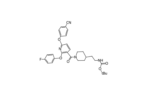 CC(C)(C)OC(=O)NCCC1CCN(C(=O)c2ccc(Oc3ccc(C#N)cc3)nc2Oc2ccc(F)cc2)CC1